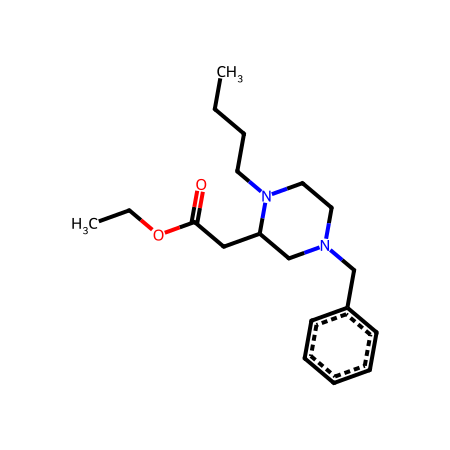 CCCCN1CCN(Cc2ccccc2)CC1CC(=O)OCC